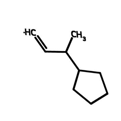 [CH]=CC(C)C1CCCC1